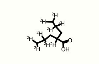 [2H]C([2H])C([2H])([2H])CC([2H])(CC([2H])([2H])C([2H])[2H])C(=O)O